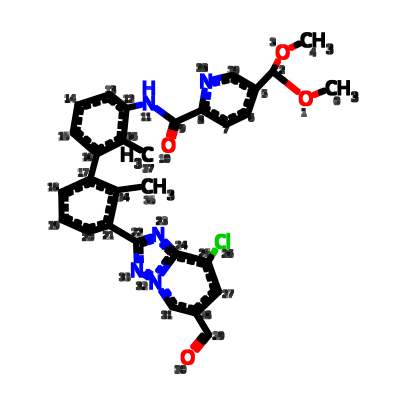 COC(OC)c1ccc(C(=O)Nc2cccc(-c3cccc(-c4nc5c(Cl)cc(C=O)cn5n4)c3C)c2C)nc1